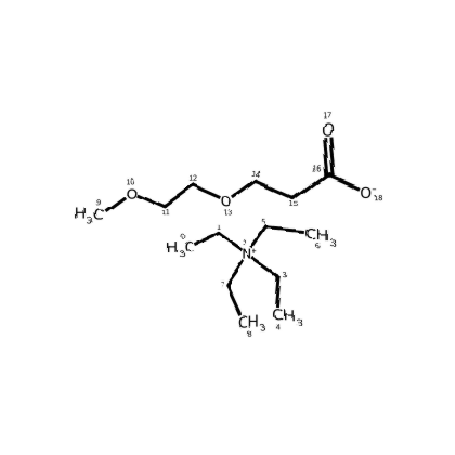 CC[N+](CC)(CC)CC.COCCOCCC(=O)[O-]